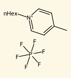 CCCCCC[n+]1ccc(C)cc1.F[P-](F)(F)(F)(F)F